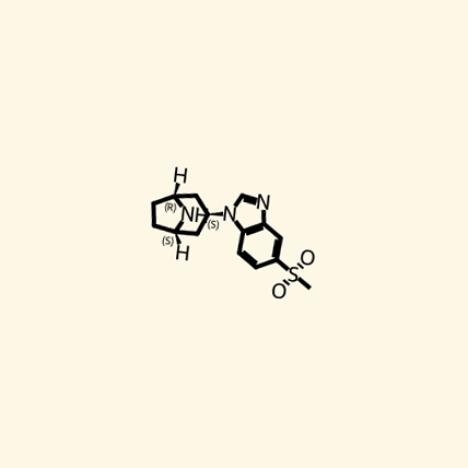 CS(=O)(=O)c1ccc2c(c1)ncn2[C@@H]1C[C@H]2CC[C@@H](C1)N2